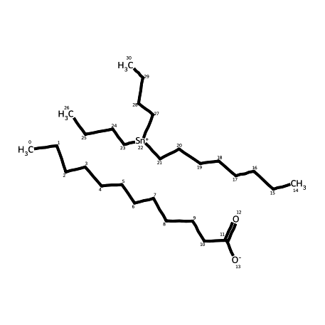 CCCCCCCCCCCC(=O)[O-].CCCCCCC[CH2][Sn+]([CH2]CCC)[CH2]CCC